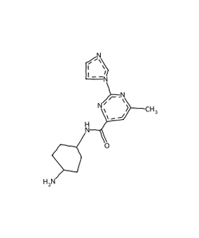 Cc1cc(C(=O)NC2CCC(N)CC2)nc(-n2ccnc2)n1